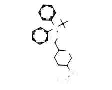 CC(C)(C)[Si](OCC1CCC(NN)CO1)(c1ccccc1)c1ccccc1